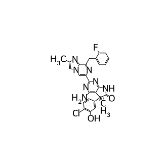 Cc1cn2cc(-c3nc(N)c4c(n3)NC(=O)[C@]4(C)c3ccc(Cl)c(O)c3)nc(Cc3ccccc3F)c2n1